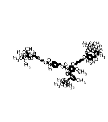 COc1cc(C(=O)N2C=C(C)C[C@H]2CO[Si](C)(C)C(C)(C)C)c(N)cc1OCCCCCOc1cc(NC(=O)OCc2ccc(NC(=O)OCCOCCC(=O)N[C@H](C(=O)NC(C)C)C(C)C)cc2)c(C(=O)N2C=C(C)C[C@H]2CO[Si](C)(C)C(C)(C)C)cc1OC